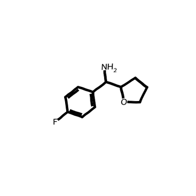 NC(c1ccc(F)cc1)C1CCCO1